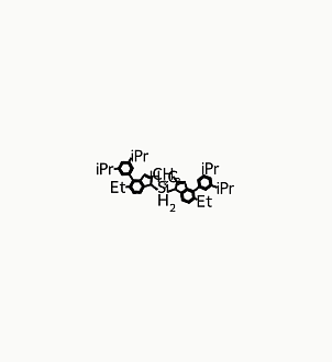 CCc1ccc2c(c1-c1cc(C(C)C)cc(C(C)C)c1)C=C(C)C2C[SiH2]CC1C(C)=Cc2c1ccc(CC)c2-c1cc(C(C)C)cc(C(C)C)c1